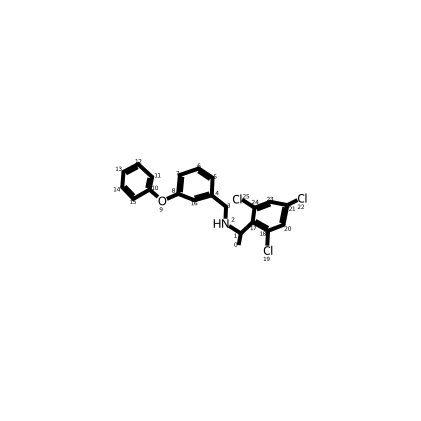 CC(NCc1cccc(Oc2ccccc2)c1)c1c(Cl)cc(Cl)cc1Cl